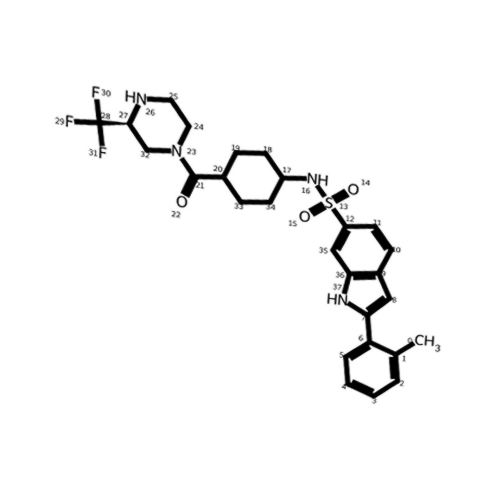 Cc1ccccc1-c1cc2ccc(S(=O)(=O)NC3CCC(C(=O)N4CCN[C@H](C(F)(F)F)C4)CC3)cc2[nH]1